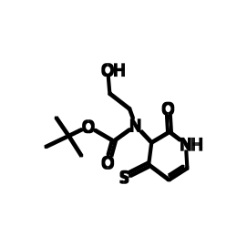 CC(C)(C)OC(=O)N(CCO)C1C(=O)NC=CC1=S